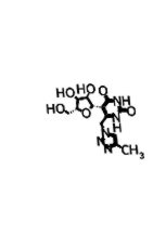 Cc1cn(Cc2[nH]c(=O)[nH]c(=O)c2[C@@H]2O[C@H](CO)C(O)[C@@H]2O)nn1